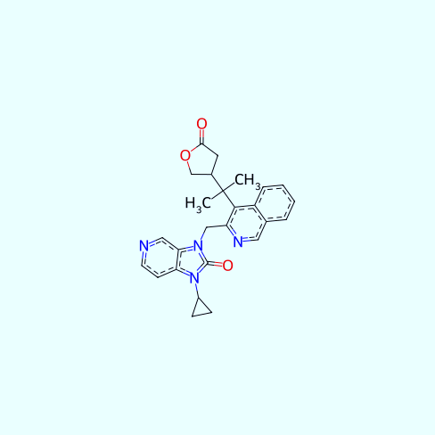 CC(C)(c1c(Cn2c(=O)n(C3CC3)c3ccncc32)ncc2ccccc12)C1COC(=O)C1